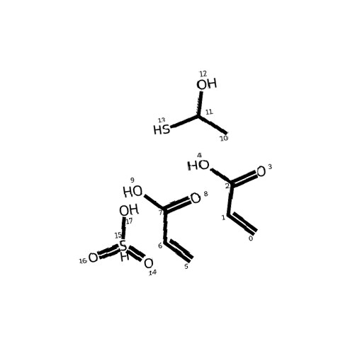 C=CC(=O)O.C=CC(=O)O.CC(O)S.O=[SH](=O)O